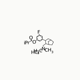 CC(C)C(=O)Oc1cc(F)cc(C2CC3CCC(C3)C2CN(C)C)c1.Cl